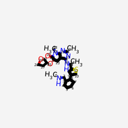 CNCc1ccccc1-c1csc([C@@H](C)Nc2nc(C)nc3c2cc(O[C@H]2CCOC2)c(=O)n3C)c1